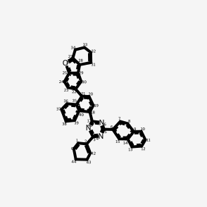 C1=CC(c2nc(-c3ccc4ccccc4c3)nc(-c3ccc(-c4ccc5oc6c(c5c4)C=CCC6)c4ccccc34)n2)=CCC1